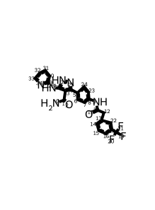 NC(=O)c1c(-c2ccc(NC(=O)Cc3cccc(C(F)(F)F)c3)cc2)n[nH]c1Nc1ccccn1